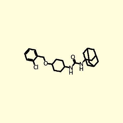 O=C(NC1CCC(OCc2ccccc2Cl)CC1)NC12CC3CC(CC(C3)C1)C2